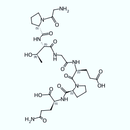 C[C@@H](O)[C@H](NC(=O)[C@@H]1CCCN1C(=O)CN)C(=O)NCC(=O)N[C@@H](CCC(=O)O)C(=O)N1CCC[C@H]1C(=O)N[C@@H](CCC(N)=O)C(=O)O